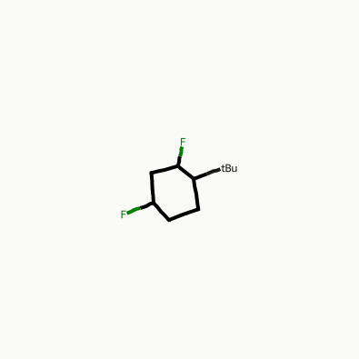 CC(C)(C)C1CCC(F)CC1F